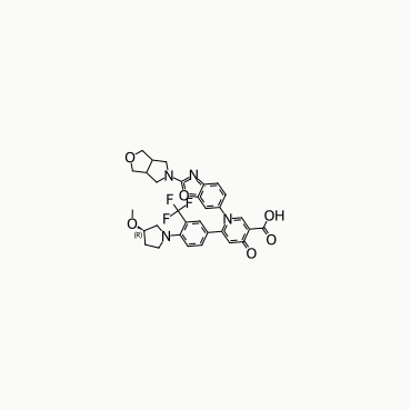 CO[C@@H]1CCN(c2ccc(-c3cc(=O)c(C(=O)O)cn3-c3ccc4nc(N5CC6COCC6C5)oc4c3)cc2C(F)(F)F)C1